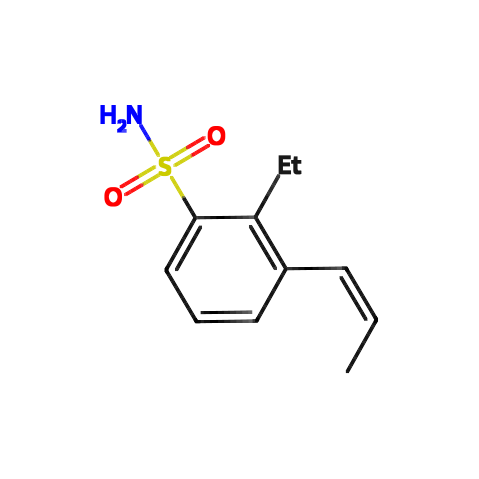 C/C=C\c1cccc(S(N)(=O)=O)c1CC